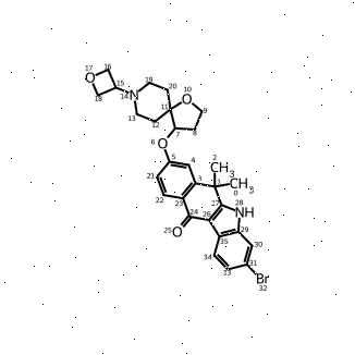 CC1(C)c2cc(OC3CCOC34CCN(C3COC3)CC4)ccc2C(=O)c2c1[nH]c1cc(Br)ccc21